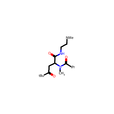 CNCCNC(=O)C(CC(=O)C(C)(C)C)N(C)C(=O)C(C)C